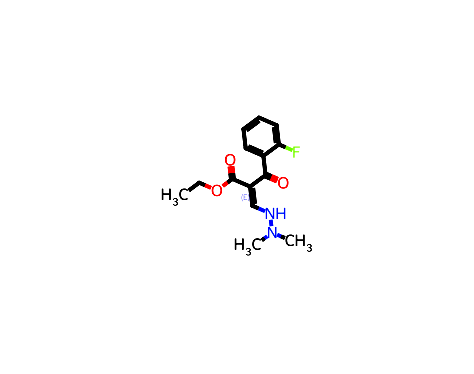 CCOC(=O)/C(=C/NN(C)C)C(=O)c1ccccc1F